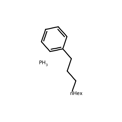 CCCCCCCCCc1ccccc1.P